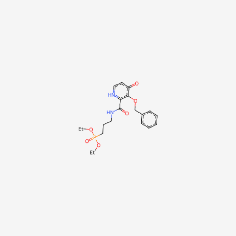 CCOP(=O)(CCCNC(=O)c1[nH]ccc(=O)c1OCc1ccccc1)OCC